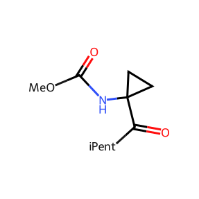 CCCC(C)C(=O)C1(NC(=O)OC)CC1